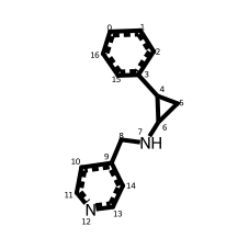 c1ccc(C2CC2NCc2ccncc2)cc1